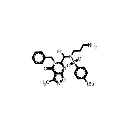 CCC(c1nc2onc(C)c2c(=O)n1Cc1ccccc1)N(CCCN)S(=O)(=O)c1ccc(C(C)(C)C)cc1